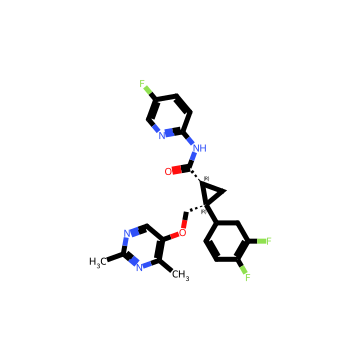 Cc1ncc(OC[C@@]2(C3C=CC(F)=C(F)C3)C[C@H]2C(=O)Nc2ccc(F)cn2)c(C)n1